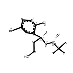 CC(C)(C)[S@@+]([O-])N[C@@](C)(CCO)c1cc(Br)cnc1Cl